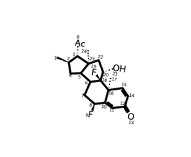 CC(=O)[C@H]1[C@H](C)CC2C3C[C@H](F)C4=CC(=O)C=C[C@]4(C)[C@@]3(F)[C@@H](O)C[C@@]21C